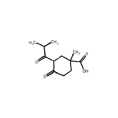 CC(C)C(=O)C1CC(C)(C(=O)O)CCC1=O